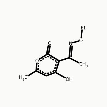 CCON=C(C)c1c(O)cc(C)oc1=O